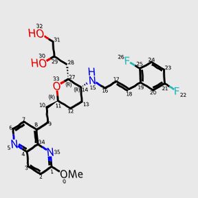 COc1ccc2nccc(CC[C@@H]3CC[C@@H](NCC=Cc4cc(F)ccc4F)[C@@H](CC(O)CO)O3)c2n1